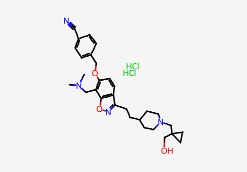 CN(C)Cc1c(OCc2ccc(C#N)cc2)ccc2c(CCC3CCN(CC4(CO)CC4)CC3)noc12.Cl.Cl